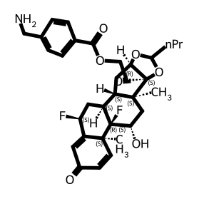 CCCC1O[C@@H]2C[C@H]3[C@@H]4C[C@H](F)C5=CC(=O)C=C[C@]5(C)[C@@]4(F)[C@@H](O)C[C@]3(C)[C@]2(C(=O)COC(=O)c2ccc(CN)cc2)O1